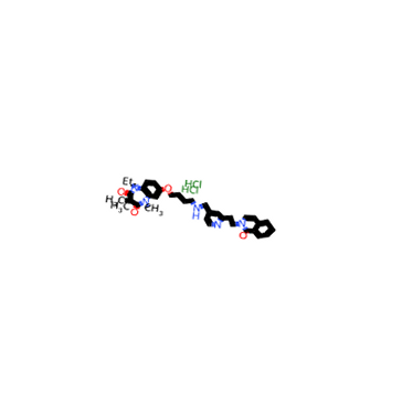 CCN1C(=O)C(C)(C)C(=O)N(C)c2cc(OCCCCNCc3ccnc(CCn4ccc5ccccc5c4=O)c3)ccc21.Cl.Cl